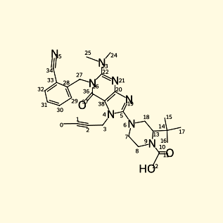 CC#CCn1c(N2CCN(C(=O)O)C(C(C)(C)C)C2)nc2nc(N(C)C)n(Cc3ccccc3C#N)c(=O)c21